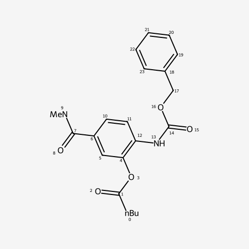 CCCCC(=O)Oc1cc(C(=O)NC)ccc1NC(=O)OCc1ccccc1